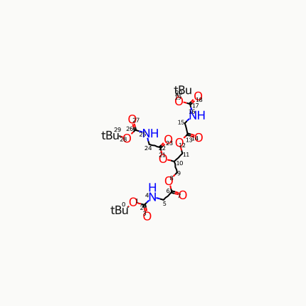 CC(C)(C)OC(=O)NCC(=O)OCC(COC(=O)CNC(=O)OC(C)(C)C)OC(=O)CNC(=O)OC(C)(C)C